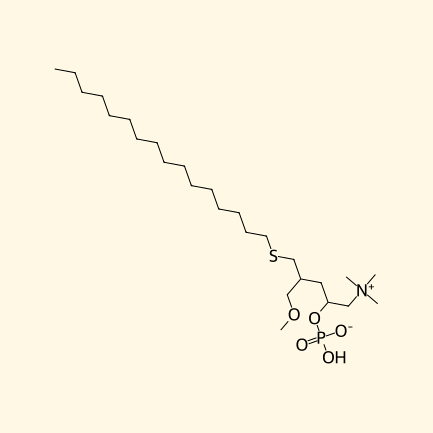 CCCCCCCCCCCCCCCCSCC(COC)CC(C[N+](C)(C)C)OP(=O)([O-])O